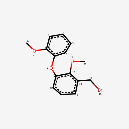 COc1ccccc1Oc1cccc(CBr)c1OC